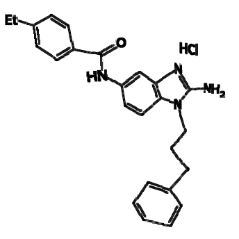 CCc1ccc(C(=O)Nc2ccc3c(c2)nc(N)n3CCCc2ccccc2)cc1.Cl